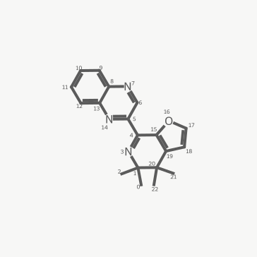 CC1(C)N=C(c2cnc3ccccc3n2)c2occc2C1(C)C